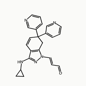 O=CC=Cn1nc(NC2CC2)c2c1CC(c1cccnc1)(c1cccnc1)C=C2